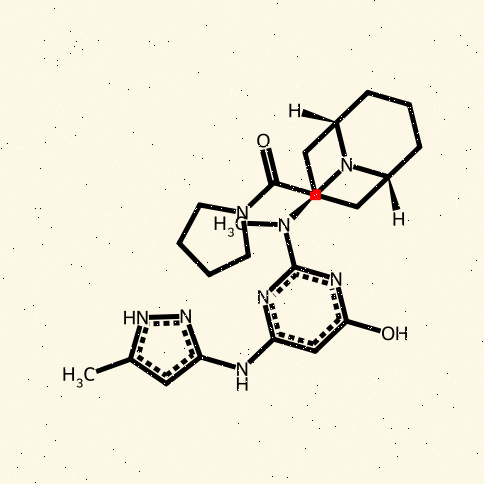 Cc1cc(Nc2cc(O)nc(N(C)[C@@H]3C[C@H]4CCC[C@@H](C3)N4CC(=O)N3CCCC3)n2)n[nH]1